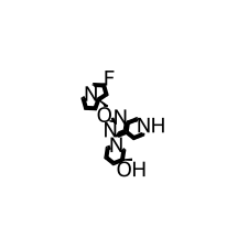 C[C@@]1(O)CCCN(c2nc(OC[C@@]34CCCN3C[C@H](F)C4)nc3c2CCNC3)C1